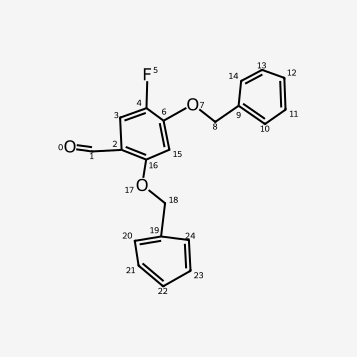 O=Cc1cc(F)c(OCc2ccccc2)cc1OCc1ccccc1